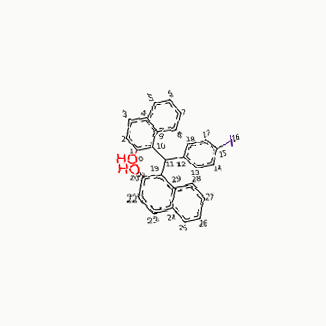 Oc1ccc2ccccc2c1C(c1ccc(I)cc1)c1c(O)ccc2ccccc12